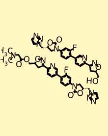 CN(C)CC(=O)OCC1CC(c2ccc(-c3ccc(N4C[C@H](Cn5ccnn5)OC4=O)cc3F)cn2)=NO1.O=C1O[C@@H](Cn2ccnn2)CN1c1ccc(-c2ccc(C3=NOC(CO)C3)nc2)c(F)c1